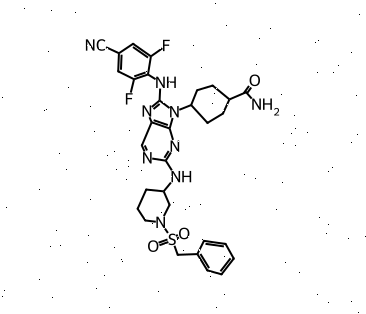 N#Cc1cc(F)c(Nc2nc3cnc(NC4CCCN(S(=O)(=O)Cc5ccccc5)C4)nc3n2C2CCC(C(N)=O)CC2)c(F)c1